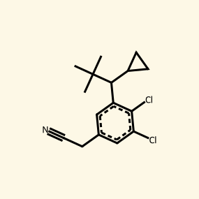 CC(C)(C)C(c1cc(CC#N)cc(Cl)c1Cl)C1CC1